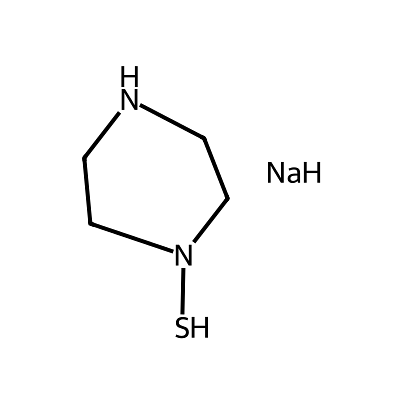 SN1CCNCC1.[NaH]